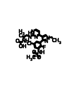 CCn1cc(-c2ccnc(NC[C@H](C)NC(=O)O)n2)c(-c2cc(Cl)cc(NS(C)(=O)=O)c2F)n1